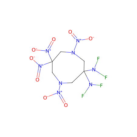 O=[N+]([O-])N1CC(N(F)F)(N(F)F)CN([N+](=O)[O-])CC([N+](=O)[O-])([N+](=O)[O-])C1